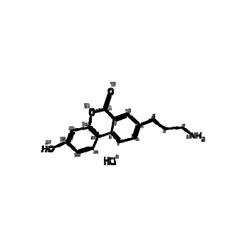 Cl.NCCCc1ccc2c(c1)c(=O)oc1cc(O)ccc12